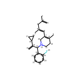 C=C(C)C/C(C)=C/C1=C(C)CCN(C(C(=C)C2CC2)c2ccccc2F)C1